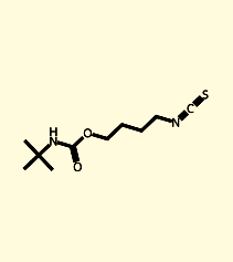 CC(C)(C)NC(=O)OCCCCN=C=S